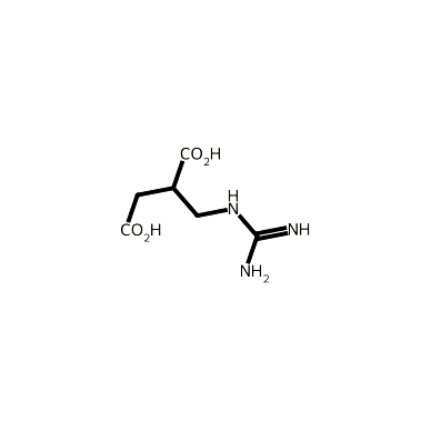 N=C(N)NCC(CC(=O)O)C(=O)O